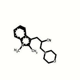 Cc1c(CC(C#N)CN2CCOCC2)c2c#cccc2n1C